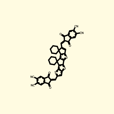 N#Cc1cc2c(cc1C#N)C(=O)C(=CC1=Cc3sc4c(c3C13CCCCC3)C1(CCCCC1)c1c-4sc3cc(C=C4C(=O)c5cc(C#N)c(C#N)cc5C4=O)sc13)C2=O